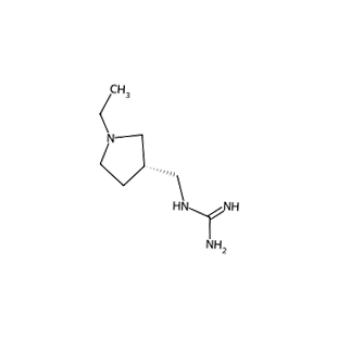 CCN1CC[C@@H](CNC(=N)N)C1